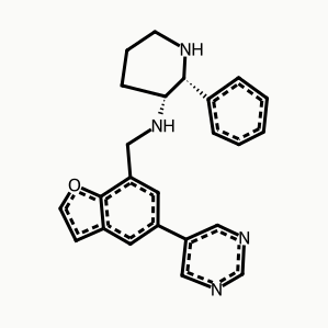 c1ccc([C@H]2NCCC[C@H]2NCc2cc(-c3cncnc3)cc3ccoc23)cc1